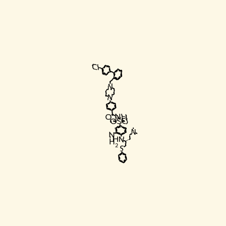 CN(C)CC[C@@H](CSc1ccccc1)Nc1ccc(S(=O)(=O)NC(=O)c2ccc(N3CCN(Cc4ccccc4-c4ccc(Cl)cc4)CC3)cc2)cc1N